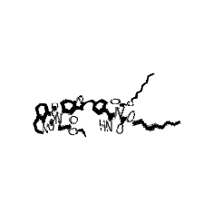 CCCCCCCCOC(=O)N(C(=N)c1ccc(Cc2cc3cc(N(CC(=O)OCC)S(=O)(=O)c4cccc5cccnc45)ccc3n2C)cc1)C(=O)OCCCCCCCC